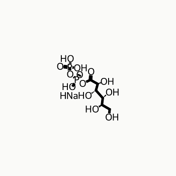 O=C(OP(=O)(O)OP(=O)(O)O)[C@H](O)[C@@H](O)[C@H](O)[C@H](O)CO.[NaH]